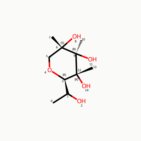 CC(O)[C@H]1O[CH][C@](C)(O)[C@@](C)(O)[C@]1(C)O